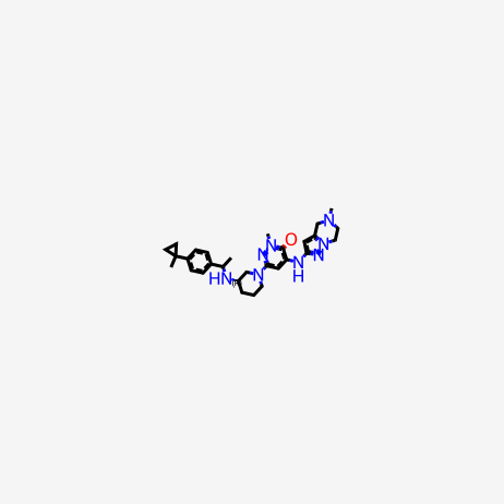 CC(N[C@@H]1CCCN(c2cc(Nc3cc4n(n3)CCN(C)C4)c(=O)n(C)n2)C1)c1ccc(C2(C)CC2)cc1